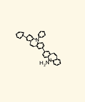 NN1c2ccccc2C=Cc2cc(-c3ccc4c(c3)C=Cc3cc(-c5ccccc5)ccc3N4c3ccccc3)ccc21